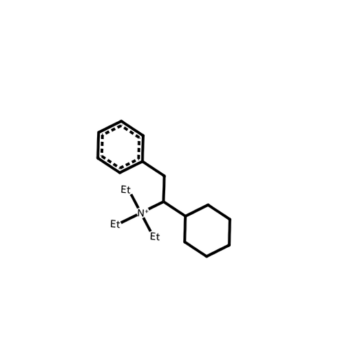 CC[N+](CC)(CC)C(Cc1ccccc1)C1CCCCC1